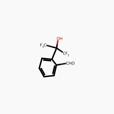 O=Cc1ccccc1C(O)(C(F)(F)F)C(F)(F)F